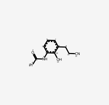 CC(C)C(=O)Nc1cccc(CCC#N)c1O